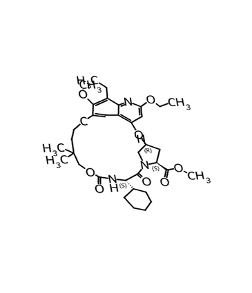 CCOc1cc2c3cc(c(OC)c(CC)c3n1)CCCC(C)(C)COC(=O)N[C@@H](C1CCCCC1)C(=O)N1C[C@@H](C[C@H]1C(=O)OC)O2